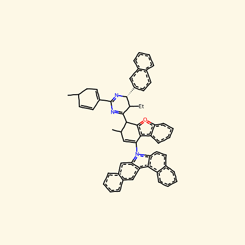 CCC1C(C2c3oc4ccccc4c3C(n3c4cc5ccccc5cc4c4c5ccccc5ccc43)=CC2C)=NC(C2=CCC(C)C=C2)=N[C@@H]1c1ccc2ccccc2c1